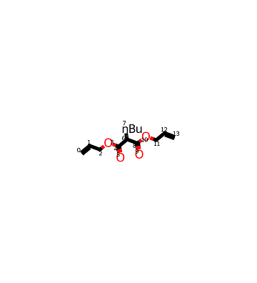 C=CCOC(=O)C(CCCC)C(=O)OCC=C